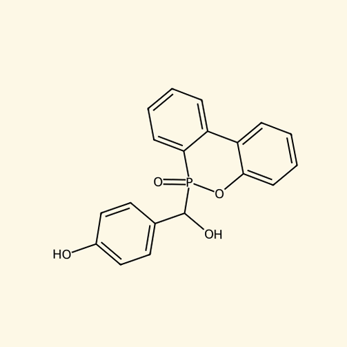 O=P1(C(O)c2ccc(O)cc2)Oc2ccccc2-c2ccccc21